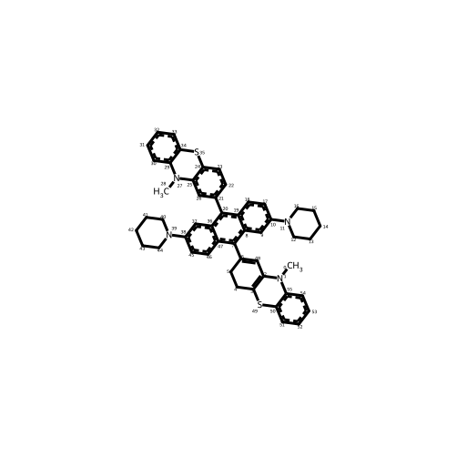 CN1C2=C(CCC(c3c4cc(N5CCCCC5)ccc4c(-c4ccc5c(c4)N(C)c4ccccc4S5)c4cc(N5CCCCC5)ccc34)=C2)Sc2ccccc21